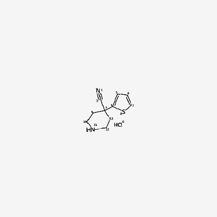 Cl.N#CC1(c2cccs2)CCNCC1